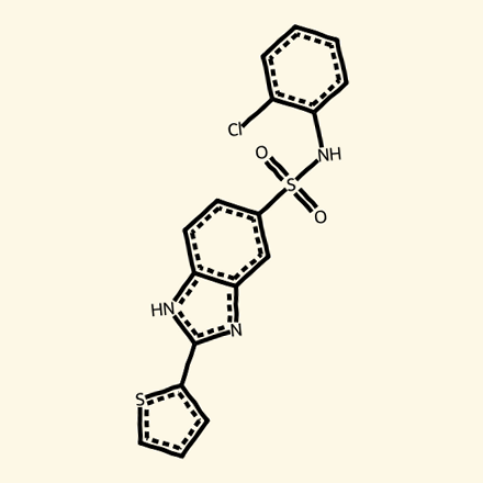 O=S(=O)(Nc1ccccc1Cl)c1ccc2[nH]c(-c3cccs3)nc2c1